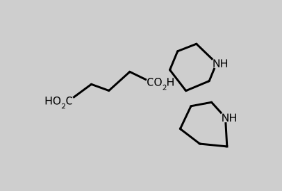 C1CCNCC1.C1CCNCC1.O=C(O)CCCC(=O)O